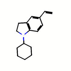 C=Cc1ccc2c(c1)CCN2C1CCCCC1